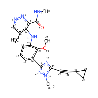 [2H]NC(=O)c1nncc(C)c1Nc1cccc(-c2nc(C#CC3CC3)n(C)n2)c1OC